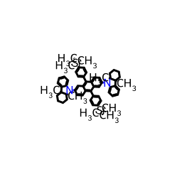 CC12CCCCC1(C)N(c1ccc3c(-c4ccc([Si](C)(C)C)cc4)c4cc(N5c6ccccc6C6(C)CCCCC56C)ccc4c(-c4ccc([Si](C)(C)C)cc4)c3c1)c1ccccc12